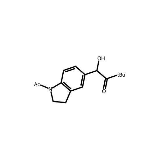 CC(=O)N1CCc2cc(C(O)C(=O)C(C)(C)C)ccc21